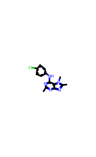 Cc1nc(Nc2ccc(Cl)cc2)c2c(n1)nc(C)n2C